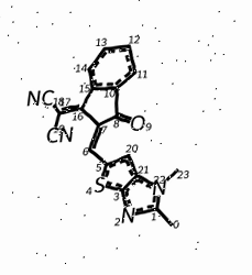 Cc1nc2sc(/C=C3\C(=O)c4ccccc4C3=C(C#N)C#N)cc2n1C